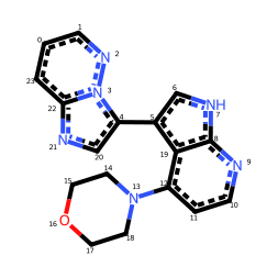 c1cnn2c(-c3c[nH]c4nccc(N5CCOCC5)c34)cnc2c1